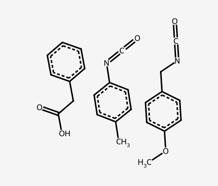 COc1ccc(CN=C=O)cc1.Cc1ccc(N=C=O)cc1.O=C(O)Cc1ccccc1